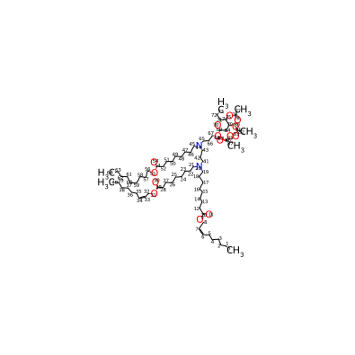 CCCCCC/C=C\COC(=O)CCCCCCCCN(CCCCCCCCC(=O)OC/C=C\CCCCCC)CCCN(CCCCCCCCC(=O)OCCCCCCCCC)CCCOC1OC(CC)C(OC(C)=O)C(OC(C)=O)C1OC(C)=O